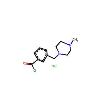 CN1CCN(Cc2cccc(C(=O)Cl)c2)CC1.Cl